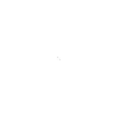 CCc1ccc(N(C)CCO)cc1